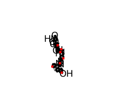 O=C1CC[C@H](N2Cc3cc4c(cc3C2=O)OC[C@@H]2CN(CC3CCC5(CC3)CN(c3ncc([C@@H]6c7ccc(O)cc7CC[C@@H]6c6ccccc6)cn3)C5)CCN42)C(=O)N1